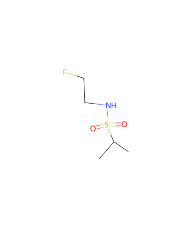 CC(C)S(=O)(=O)NCCF